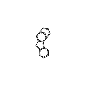 C1=c2ccccc2=c2c1cc1cccc2c1